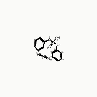 O=P(O)(Oc1ccccc1)Oc1ccccc1.[N-]=[N+]=[N-]